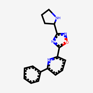 c1ccc(-c2cccc(-c3nc(C4CCCN4)no3)n2)cc1